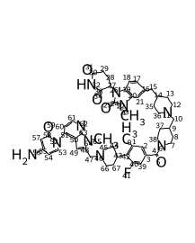 Cc1cc(C(=O)N2CCC(CN3CCC(Cc4ccc5c(c4)n(C)c(=O)n5C4CCC(=O)NC4=O)CC3)CC2)cc(F)c1C1CCN(Cc2cc3c(-n4ccc(N)cc4=O)ccnc3n2C)CC1